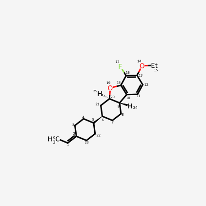 CC=C1CCC([C@@H]2CC[C@H]3c4ccc(OCC)c(F)c4O[C@@H]3C2)CC1